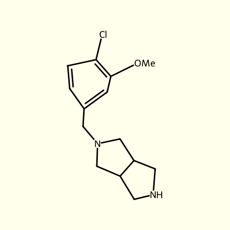 COc1cc(CN2CC3CNCC3C2)ccc1Cl